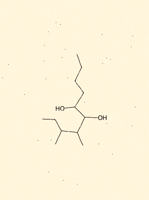 CCCCC(O)C(O)C(C)C(C)CC